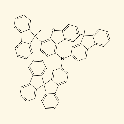 CC1(C)c2ccccc2-c2ccc(N(c3ccc4c(c3)C3(c5ccccc5-c5ccccc53)c3ccccc3-4)c3ccc(C4(C)c5ccccc5-c5ccccc54)c4oc5ccccc5c34)cc21